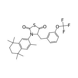 Cc1cc2c(cc1N1C(=O)SC(=O)C1Cc1cccc(OC(F)(F)F)c1)C(C)(C)CCC2(C)C